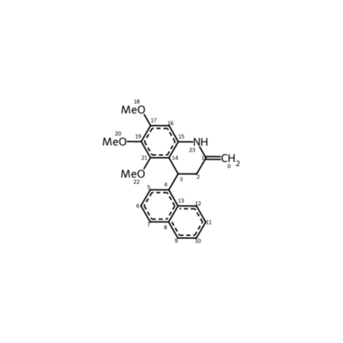 C=C1CC(c2cccc3ccccc23)c2c(cc(OC)c(OC)c2OC)N1